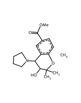 C.COC(=O)c1ccc2c(c1)C(N1CCCC1)C(O)C(C)(C)O2